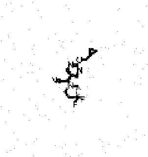 N#CC(c1cnc(OCC2CC2)nc1)N1CCC(F)(F)CC1